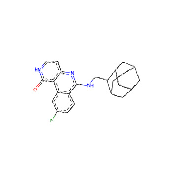 O=c1[nH]ccc2nc(NCC3C4CC5CC(C4)CC3C5)c3ccc(F)cc3c12